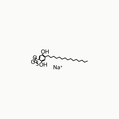 CCCCCCCCCCCCCCCc1cc(O)c(S(=O)([O-])=S)cc1O.[Na+]